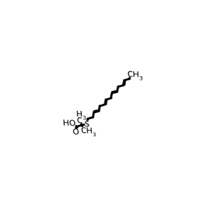 CCC=CCC=CCC=CCC=CCCSC(C)(C)C(=O)O